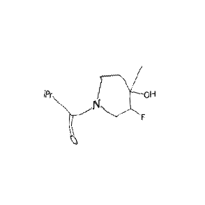 CC(C)C(=O)N1CCC(C)(O)C(F)C1